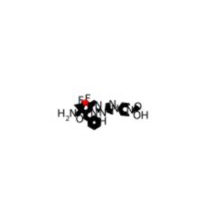 NC(=O)C1(C(Cc2ccccc2)c2nc(Nc3cnn(C4CCN(C(=O)O)CC4)c3)ncc2C(F)(F)F)CC1